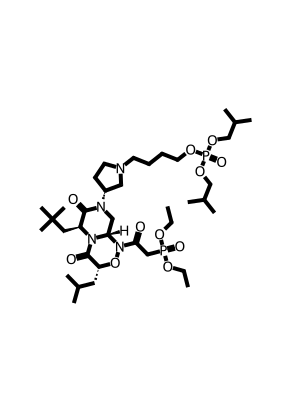 CCOP(=O)(CC(=O)N1O[C@H](CC(C)C)C(=O)N2[C@@H]1CN([C@@H]1CCN(CCCCOP(=O)(OCC(C)C)OCC(C)C)C1)C(=O)[C@@H]2CC(C)(C)C)OCC